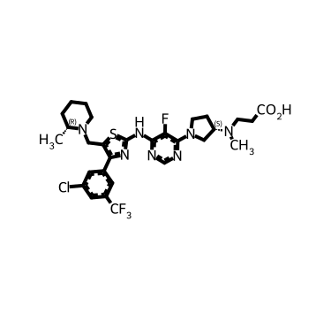 C[C@@H]1CCCCN1Cc1sc(Nc2ncnc(N3CC[C@H](N(C)CCC(=O)O)C3)c2F)nc1-c1cc(Cl)cc(C(F)(F)F)c1